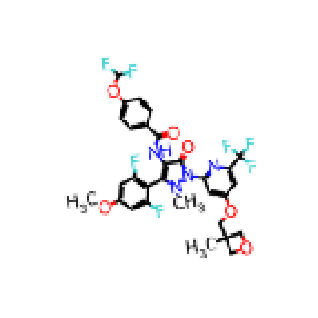 COc1cc(F)c(-c2c(NC(=O)c3ccc(OC(F)F)cc3)c(=O)n(-c3cc(OCC4(C)COC4)cc(C(F)(F)F)n3)n2C)c(F)c1